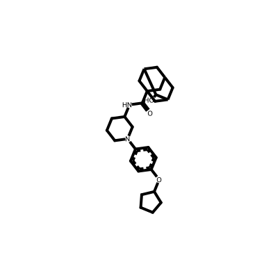 O=C(NC1CCCN(c2ccc(OC3CCCC3)cc2)C1)C12CC3CC(C1)C(O)C(C3)C2